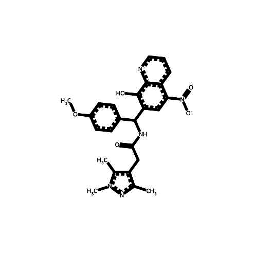 COc1ccc(C(NC(=O)Cc2c(C)nn(C)c2C)c2cc([N+](=O)[O-])c3cccnc3c2O)cc1